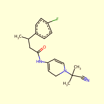 CC(CC(=O)NC1=CCN(C(C)(C)C#N)C=C1)c1ccc(F)cc1